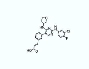 O=C(O)/C=C/c1cccc(-c2cnc(Nc3ccc(F)c(Cl)c3)nc2NC2CCOC2)c1